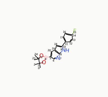 CC1(C)OB(c2cnc3[nH]c(-c4ccc(F)cc4)cc3c2)OC1(C)C